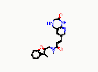 Cc1c(CN(C)C(=O)C=Cc2cnc3c(c2)CNCC(=O)N3)oc2ccccc12